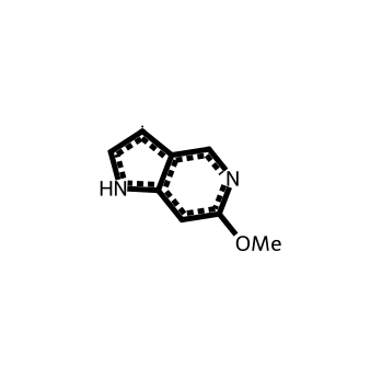 COc1cc2[nH]c[c]c2cn1